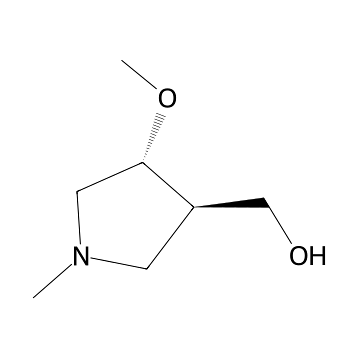 CO[C@H]1CN(C)C[C@@H]1CO